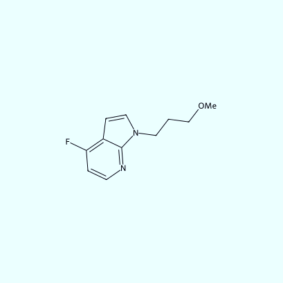 COCCCn1ccc2c(F)ccnc21